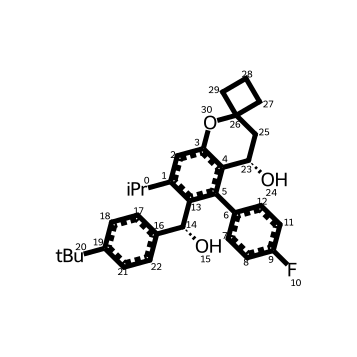 CC(C)c1cc2c(c(-c3ccc(F)cc3)c1[C@H](O)c1ccc(C(C)(C)C)cc1)[C@@H](O)CC1(CCC1)O2